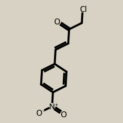 O=C(C=Cc1ccc([N+](=O)[O-])cc1)CCl